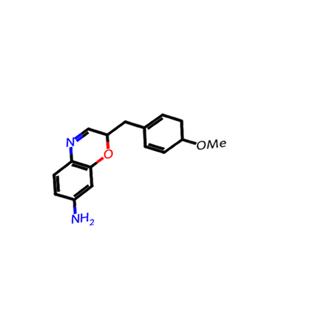 COC1C=CC(CC2C=Nc3ccc(N)cc3O2)=CC1